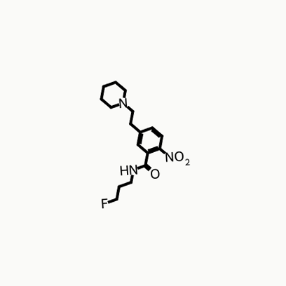 O=C(NCCCF)c1cc(CCN2CCCCC2)ccc1[N+](=O)[O-]